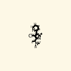 CC(c1nn(C)c(-c2ccccn2)c1Cl)N(C)C